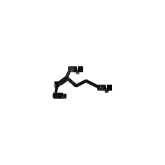 CON=C(CCC(=O)O)C(=O)O